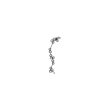 C=CC(=O)OCCCCOc1ccc(C(=O)Oc2ccc(-c3ccc(OCCCCCCOC(=O)C(=C)CC(=O)OCCC)cc3)cc2)cc1